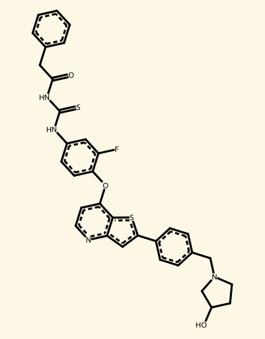 O=C(Cc1ccccc1)NC(=S)Nc1ccc(Oc2ccnc3cc(-c4ccc(CN5CCC(O)C5)cc4)sc23)c(F)c1